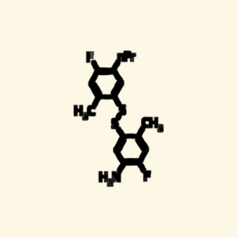 CCCc1cc(SSc2cc(N)c(F)cc2C)c(C)cc1F